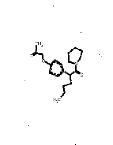 CCCCC(C(=O)N1CCCCC1)c1ccc(OCC(C)=O)cc1